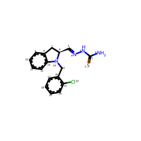 NC(=S)NN=C[C@@H]1Cc2ccccc2N1Cc1ccccc1Cl